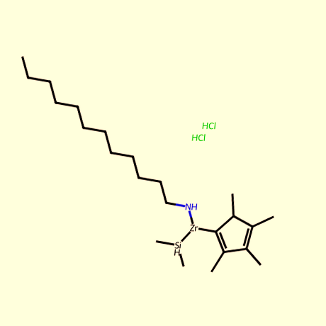 CCCCCCCCCCCC[NH][Zr]([C]1=C(C)C(C)=C(C)C1C)[SiH](C)C.Cl.Cl